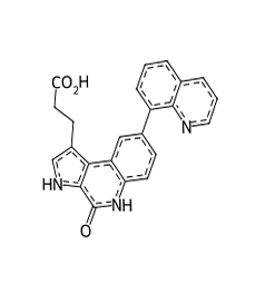 O=C(O)CCc1c[nH]c2c(=O)[nH]c3ccc(-c4cccc5cccnc45)cc3c12